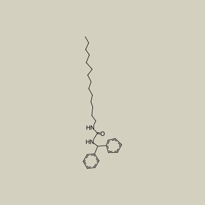 CCCCCCCCCCCCCCNC(=O)NC(c1ccccc1)c1ccccc1